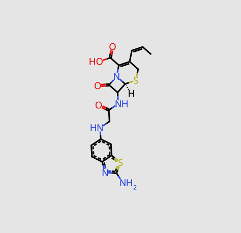 C/C=C\C1=C(C(=O)O)N2C(=O)C(NC(=O)CNc3ccc4nc(N)sc4c3)[C@@H]2SC1